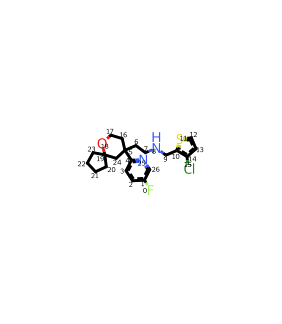 Fc1ccc(C2(CCNCc3sccc3Cl)CCOC3(CCCC3)C2)nc1